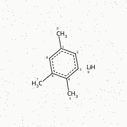 Cc1c[c]c(C)c(C)c1.[LiH]